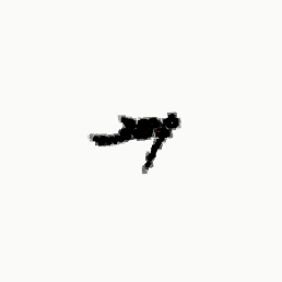 CCCCCCCCc1ccc(N(c2cccc(C)c2)c2ccc3ccc(C)c(-c4c(C)ccc5ccc(N(c6ccc(CCCCCCCC)cc6)c6cccc(C)c6)cc45)c3c2)cc1